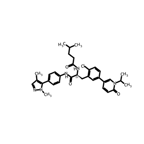 Cc1cnn(C)c1-c1ccc(NC(=O)[C@H](Cc2cc(-c3ccc(=O)n(C(C)C)c3)ccc2Cl)NC(=O)CCC(C)C)cc1